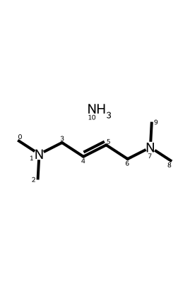 CN(C)CC=CCN(C)C.N